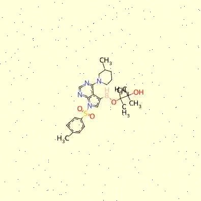 Cc1ccc(S(=O)(=O)n2cc(BOC(C)(C)C(C)(C)O)c3c(N4CCCC(C)C4)ncnc32)cc1